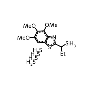 CCC([SiH3])c1nc2c(OC)c(OC)c(OC)cc2s1.S.S.S.S